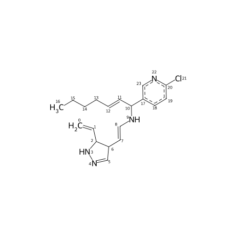 C=CC1NN=CC1/C=C/NC(/C=C/CCCC)c1ccc(Cl)nc1